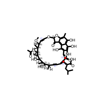 CO[C@H]1/C=C/O[C@@]2(C)Oc3c(C)c(O)c4c(O)c(c(/C=N/OC(CC(C)C)C(=O)O)c(O)c4c3C2=O)NC(=O)/C(C)=C\C=C\[C@H](C)[C@H](O)[C@@H](C)[C@@H](O)[C@@H](C)[C@H](OC(C)=O)[C@@H]1C